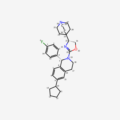 Fc1ccc([C@H]2c3ccc(C4CCCC4)cc3CCN2C2=N[C@H](C34CCN(CC3)CC4)CO2)cc1